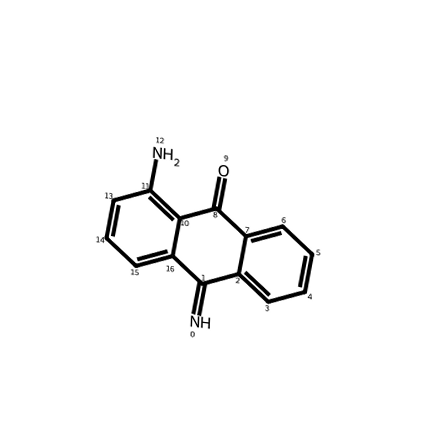 N=C1c2ccccc2C(=O)c2c(N)cccc21